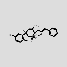 C[C@@]1(c2cc(Br)ccc2F)CS(=O)(=O)[C@](CF)(CC=Cc2ccccc2)C(N)=N1